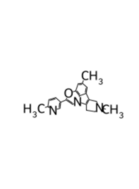 Cc1cc2c3c(c1)c1c(n3C=C(c3ccc(C)nc3)O2)CCN(C)C1